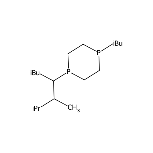 CCC(C)C(C(C)C(C)C)P1CCP(C(C)CC)CC1